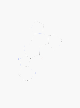 CC1NCCN1C1CCNCC1NC(=O)C1C(N)NN2C=C(F)CNC12